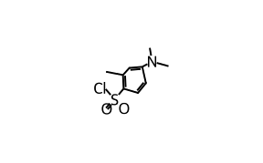 Cc1cc(N(C)C)ccc1S(=O)(=O)Cl